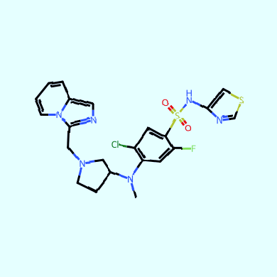 CN(c1cc(F)c(S(=O)(=O)Nc2cscn2)cc1Cl)C1CCN(Cc2ncc3ccccn23)C1